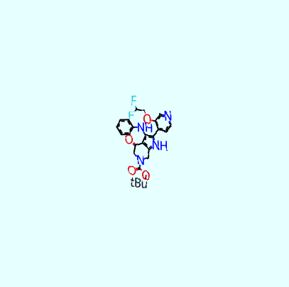 CC(C)(C)OC(=O)N1CC(=O)c2c([nH]c(-c3ccncc3OCC(F)F)c2Nc2ccccc2)C1